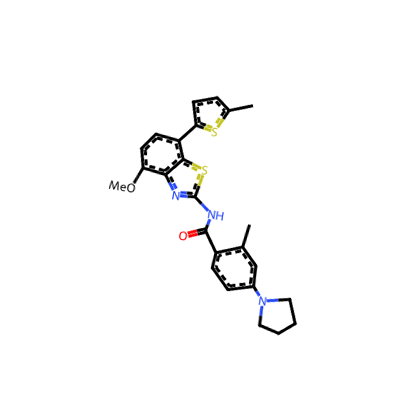 COc1ccc(-c2ccc(C)s2)c2sc(NC(=O)c3ccc(N4CCCC4)cc3C)nc12